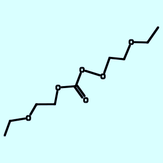 CCOCCOOC(=O)OCCOCC